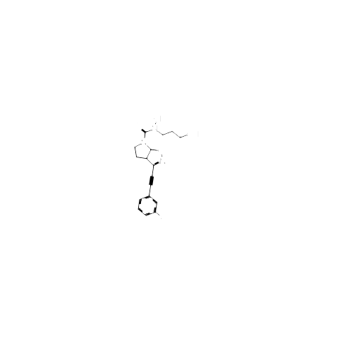 CCCCN(C)C(=O)N1CCC2C(C#Cc3cccc(Cl)c3)=NOC21